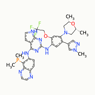 C[C@@H]1CN(c2cc(OCC(F)(F)F)c(Nc3nc(Nc4ccc5nccnc5c4P(C)C)c4cc[nH]c4n3)cc2-c2cnn(C)c2)C[C@H](C)O1